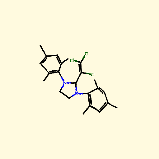 Cc1cc(C)c(N2CCN(c3c(C)cc(C)cc3C)C2C(Cl)=C(Cl)Cl)c(C)c1